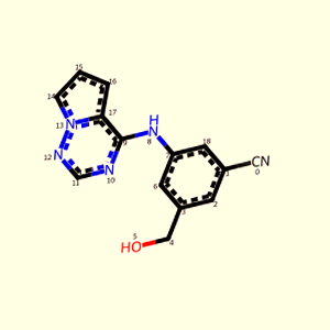 N#Cc1cc(CO)cc(Nc2ncnn3cccc23)c1